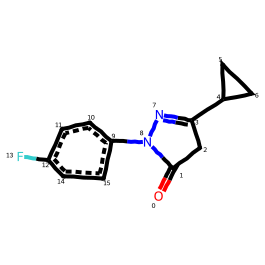 O=C1CC(C2CC2)=NN1c1ccc(F)cc1